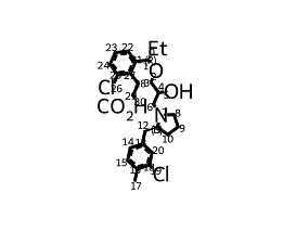 CC[C@@H](OCC(O)CN1CCC[C@H]1Cc1ccc(C)c(Cl)c1)c1cccc(Cl)c1CCC(=O)O